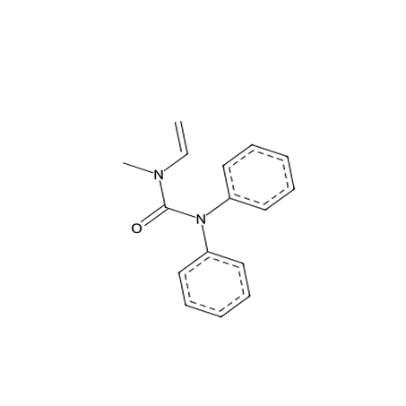 C=CN(C)C(=O)N(c1ccccc1)c1ccccc1